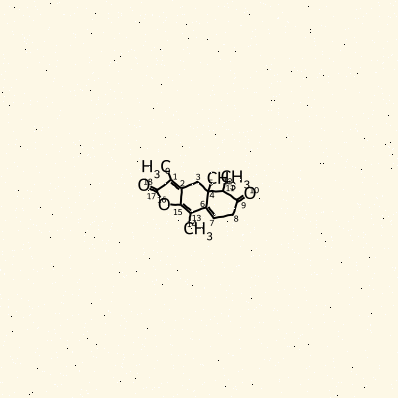 CC1=C2CC3(C)C(=CCC(=O)C3C)C(C)=C2OC1=O